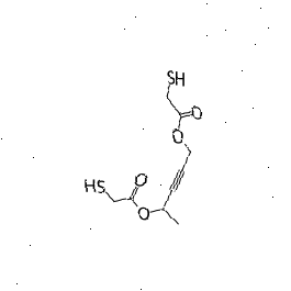 CC(C#CCOC(=O)CS)OC(=O)CS